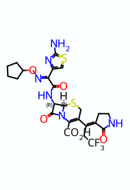 Nc1nc(C(=NOC2CCCC2)C(=O)N[C@@H]2C(=O)N3C(C(=O)O)=C(C(CC(F)(F)F)=C4CCNC4=O)CS[C@H]23)cs1